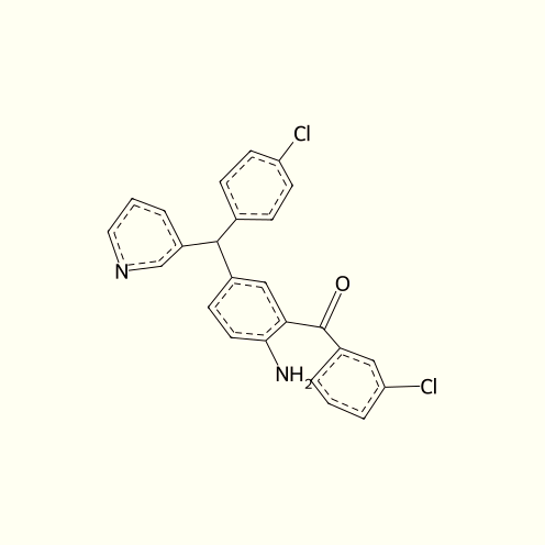 Nc1ccc(C(c2ccc(Cl)cc2)c2cccnc2)cc1C(=O)c1cccc(Cl)c1